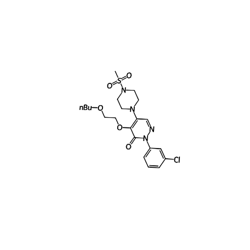 CCCCOCCOc1c(N2CCN(S(C)(=O)=O)CC2)cnn(-c2cccc(Cl)c2)c1=O